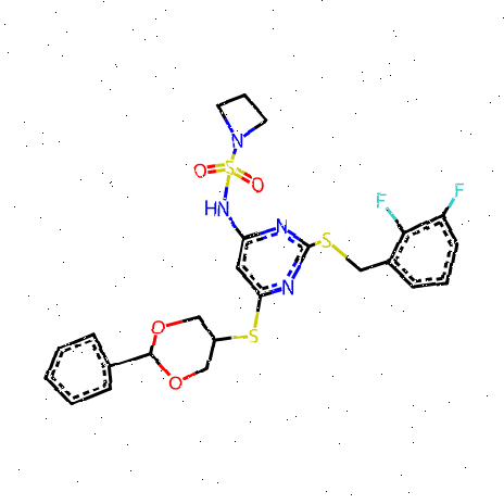 O=S(=O)(Nc1cc(SC2COC(c3ccccc3)OC2)nc(SCc2cccc(F)c2F)n1)N1CCC1